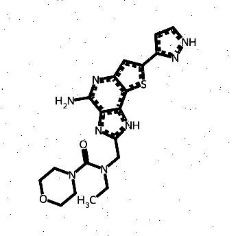 CCN(Cc1nc2c(N)nc3cc(-c4cc[nH]n4)sc3c2[nH]1)C(=O)N1CCOCC1